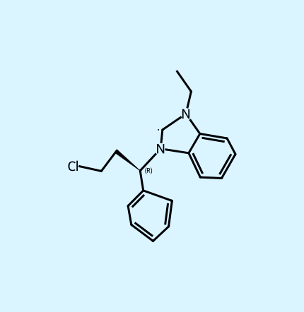 CCN1[CH]N([C@H](CCCl)c2ccccc2)c2ccccc21